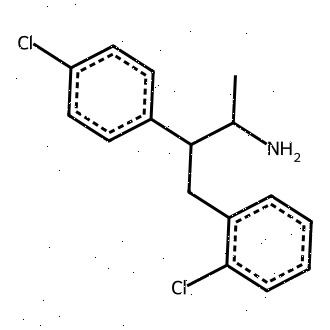 CC(N)C(Cc1ccccc1Cl)c1ccc(Cl)cc1